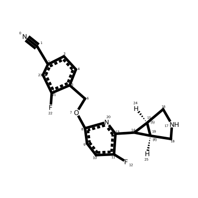 N#Cc1ccc(COc2ccc(F)c(C3[C@H]4CNC[C@@H]34)n2)c(F)c1